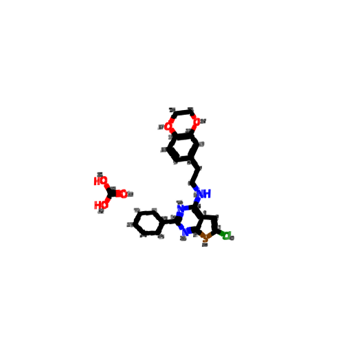 Clc1cc2c(NCCc3ccc4c(c3)OCCO4)nc(C3CCCCC3)nc2s1.O=C(O)O